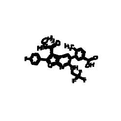 CNC(=O)c1c(-c2ccc(F)cc2)oc2nc(NCC(F)(F)F)c(-c3cc(C(=O)O)ccc3C)cc12